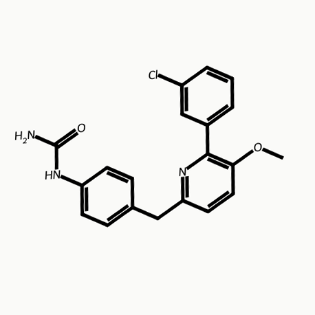 COc1ccc(Cc2ccc(NC(N)=O)cc2)nc1-c1cccc(Cl)c1